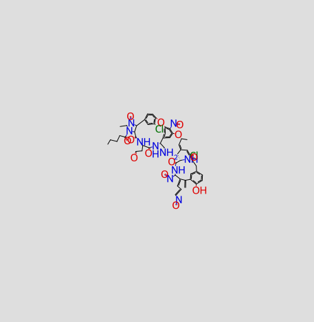 C=C1/C(=C\C=C\N=O)C(N=O)NC(=O)[C@H](C/C(C=CCl)=C/C(C)Oc2cc3cc(c2N=O)Oc2ccc(cc2Cl)C(N=O)C(N(CC)C(=O)CCCC)C(=O)NC(CC=O)C(=O)NC3CN)NC(=O)Cc2ccc(O)c1c2